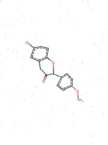 COc1ccc(C2Oc3ccc(Cl)cc3CC2=O)cc1